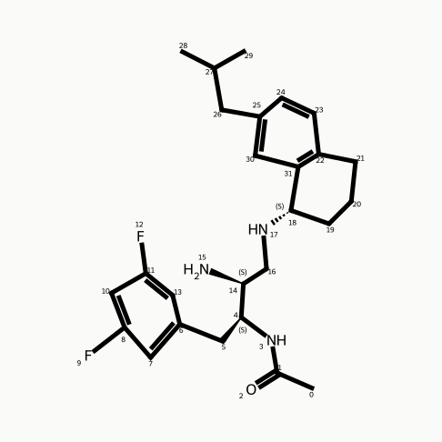 CC(=O)N[C@@H](Cc1cc(F)cc(F)c1)[C@@H](N)CN[C@H]1CCCc2ccc(CC(C)C)cc21